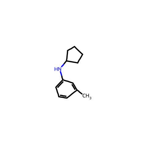 Cc1cccc(NC2CCCC2)c1